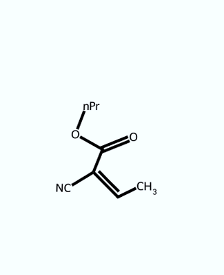 C/C=C(/C#N)C(=O)OCCC